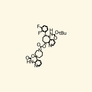 CC(C)(C)OC(=O)N[C@@H]1c2cccnc2[C@H](OC(=O)N2CCC[C@]3(CC2)OC(=O)Nc2ncccc23)CC[C@H]1c1cccc(F)c1F